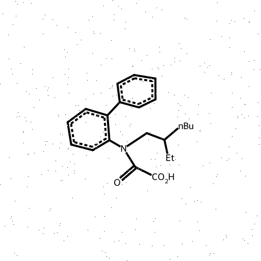 CCCCC(CC)CN(C(=O)C(=O)O)c1ccccc1-c1ccccc1